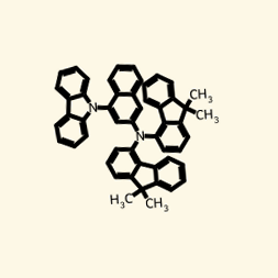 CC1(C)c2ccccc2-c2c(N(c3cc(-n4c5ccccc5c5ccccc54)c4ccccc4c3)c3cccc4c3-c3ccccc3C4(C)C)cccc21